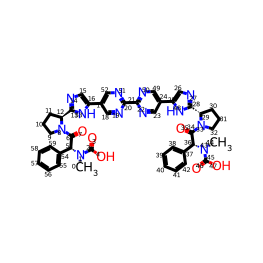 CN(C(=O)O)[C@@H](C(=O)N1CCC[C@H]1c1ncc(-c2cnc(-c3ncc(-c4cnc([C@@H]5CCCN5C(=O)[C@@H](c5ccccc5)N(C)C(=O)O)[nH]4)cn3)nc2)[nH]1)c1ccccc1